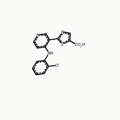 O=C(O)c1cnc(-c2cnccc2Nc2ccccc2Cl)s1